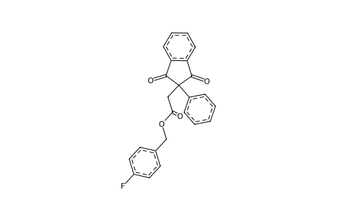 O=C(CC1(c2ccccc2)C(=O)c2ccccc2C1=O)OCc1ccc(F)cc1